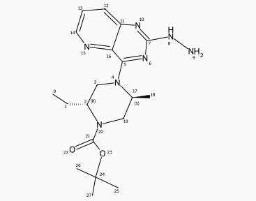 CC[C@@H]1CN(c2nc(NN)nc3cccnc23)[C@@H](C)CN1C(=O)OC(C)(C)C